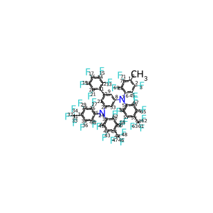 Cc1c(F)c(F)c(N(c2cc(-c3c(F)c(F)c(F)c(F)c3F)cc(N(c3c(F)c(F)c(C(F)(F)F)c(F)c3F)c3c(F)c(F)c(C(F)(F)F)c(F)c3F)c2)c2c(F)c(F)c(C(F)(F)F)c(F)c2F)c(F)c1F